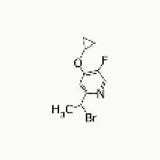 CC(Br)c1cc(OC2CC2)c(F)cn1